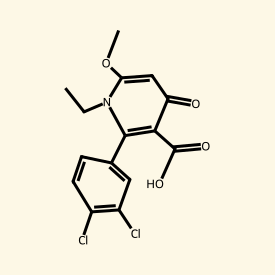 CCn1c(OC)cc(=O)c(C(=O)O)c1-c1ccc(Cl)c(Cl)c1